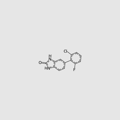 O=c1[nH]c2ccc(-c3c(F)cccc3Cl)cc2[nH]1